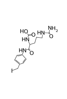 NC(=O)NCCCC(NC(=O)O)C(=O)Nc1ccc(CI)cc1